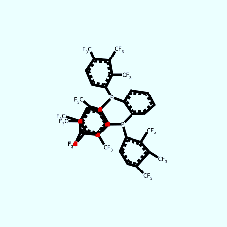 FC(F)(F)c1ccc(P(c2ccccc2P(c2ccc(C(F)(F)F)c(C(F)(F)F)c2C(F)(F)F)c2ccc(C(F)(F)F)c(C(F)(F)F)c2C(F)(F)F)c2ccc(C(F)(F)F)c(C(F)(F)F)c2C(F)(F)F)c(C(F)(F)F)c1C(F)(F)F